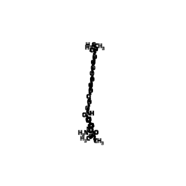 CCCN(OCC)C(=O)C1=Cc2ccc(-c3ccc(C(=O)NCCOCCOCCOCCOCCOCCOCCOCCOCCOCCOCCC(=O)OC(C)(C)C)cc3)cc2N=C(N)C1